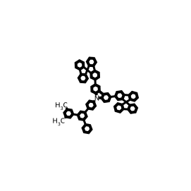 Cc1cc(C)cc(-c2cc(-c3ccccc3)cc(-c3ccc(-n4c5ccc(-c6ccc7c(c6)C6(c8ccccc8-c8ccccc86)c6ccccc6-7)cc5c5cc(-c6ccc7c(c6)C6(c8ccccc8-c8ccccc86)c6ccccc6-7)ccc54)cc3)c2)c1